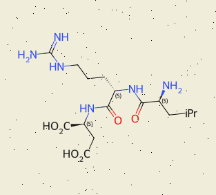 CC(C)C[C@H](N)C(=O)N[C@@H](CCCNC(=N)N)C(=O)N[C@@H](CC(=O)O)C(=O)O